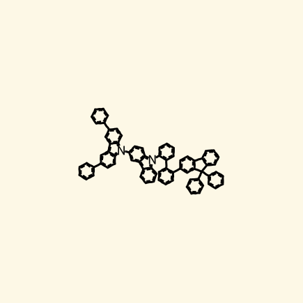 c1ccc(-c2ccc3c(c2)c2cc(-c4ccccc4)ccc2n3-c2ccc3c(c2)c2ccccc2n3-c2ccccc2-c2ccccc2-c2ccc3c(c2)C(c2ccccc2)(c2ccccc2)c2ccccc2-3)cc1